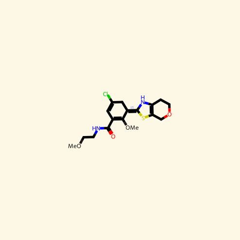 COCCNC(=O)C1=C(OC)/C(=C2/NC3=C(COCC3)S2)CC(Cl)=C1